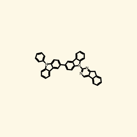 c1ccc(-n2c3ccccc3c3cc(-c4ccc5c(c4)c4ccccc4n5-c4ncc5c(n4)Cc4ccccc4-5)ccc32)cc1